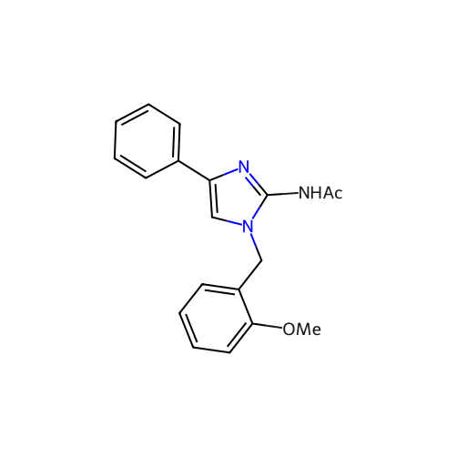 COc1ccccc1Cn1cc(-c2ccccc2)nc1NC(C)=O